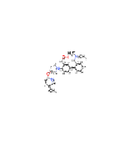 Cc1ccc(O[C@H]2CCN(c3ccc(-c4ccccc4CN(C)C)cc3CO)C2)nc1